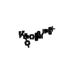 Cc1ccc(-c2cc(C(F)(F)F)nn2-c2ccc(S(=O)(=O)NC(=O)CCCNC(=O)OC(C)(C)C)cc2)cc1